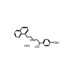 Cl.Oc1ccc(C(O)CNCCc2cccc3ccccc23)cc1